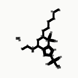 CCNC1CN(CCCCSC)S(=O)(=O)c2sc(S(N)(=O)=O)cc21.Cl